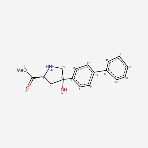 COC(=O)[C@@H]1CC(O)(c2ccc(-c3ccccc3)cc2)CN1